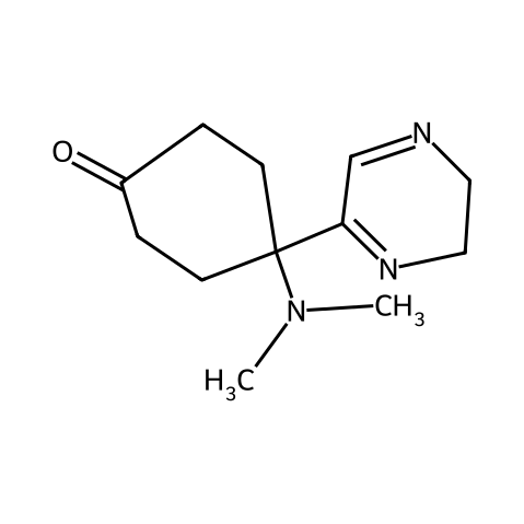 CN(C)C1(C2=NCCN=C2)CCC(=O)CC1